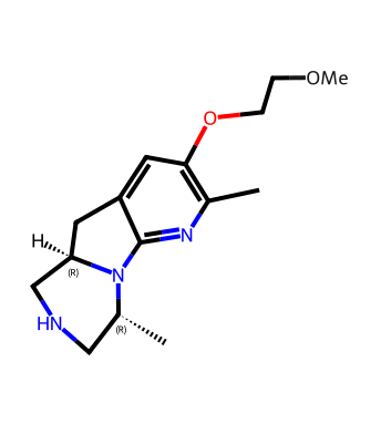 COCCOc1cc2c(nc1C)N1[C@@H](CNC[C@H]1C)C2